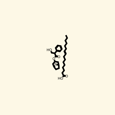 CCCCCCC=CCCCCCCCC(=O)O.CN1C2CCC1CC(OC(=O)C(CO)c1ccccc1)C2